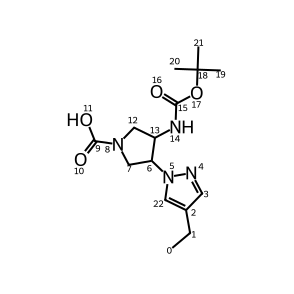 CCc1cnn(C2CN(C(=O)O)CC2NC(=O)OC(C)(C)C)c1